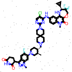 C[C@H]1CN(c2cc3c(cc2F)c(C2CCC(=O)NC2=O)nn3C)CC[C@@H]1CN1CCC2(CC1)CCN(c1ncc(Cl)c(Nc3ccc4c(c3)c3c(c(=O)n4C)OCC(F)(F)[C@H](C4CC4)N3)n1)CC2